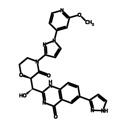 COc1cc(-n2ccc(N3CCO[C@H]([C@@H](O)c4nc(=O)c5cc(-c6cc[nH]n6)ccc5[nH]4)C3=O)n2)ccn1